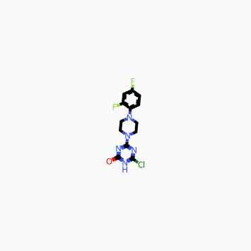 O=c1nc(N2CCN(c3ccc(F)cc3F)CC2)nc(Cl)[nH]1